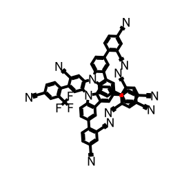 N#Cc1ccc(-c2ccc3c(c2)c2cc(-c4ccc(C#N)cc4C#N)ccc2n3-c2cc(C#N)c(-c3ccc(C#N)cc3C(F)(F)F)cc2-n2c3ccc(-c4ccc(C#N)cc4C#N)cc3c3cc(-c4ccc(C#N)cc4C#N)ccc32)c(C#N)c1